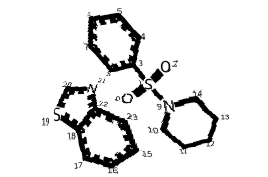 O=S(=O)(c1ccccc1)N1CCCCC1.c1ccc2scnc2c1